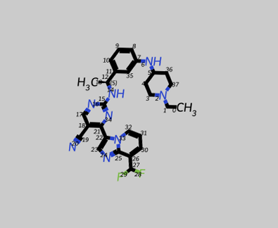 CCN1CCC(Nc2cccc([C@H](C)Nc3ncc(C#N)c(-c4cnc5c(C(F)F)cccn45)n3)c2)CC1